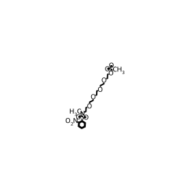 CN(CCOCCOCCOCCOCCOS(C)(=O)=O)S(=O)(=O)c1ccccc1[N+](=O)[O-]